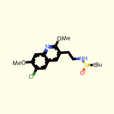 COc1cc2nc(OC)c(CCN[S+]([O-])C(C)(C)C)cc2cc1Cl